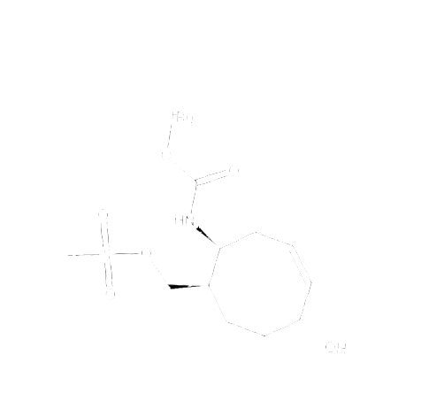 CC(C)(C)OC(=O)N[C@H]1C/C=C\[C@H](O)CC[C@H]1COS(C)(=O)=O